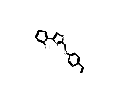 C=Cc1ccc(OCc2nc(-c3ccccc3Cl)cs2)cc1